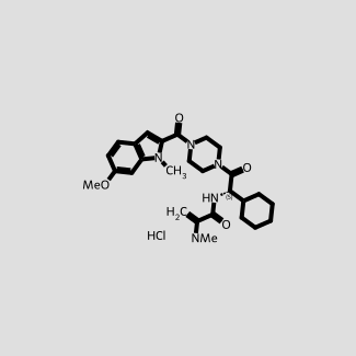 C=C(NC)C(=O)N[C@H](C(=O)N1CCN(C(=O)c2cc3ccc(OC)cc3n2C)CC1)C1CCCCC1.Cl